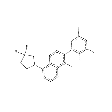 Cc1cc(C)c(C)c(-c2ccc3c(C4CCC(F)(F)C4)cccc3[n+]2C)c1